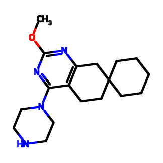 COc1nc2c(c(N3CCNCC3)n1)CCC1(CCCCC1)C2